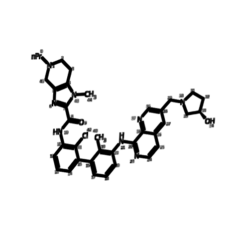 CCCN1CCc2c(nc(C(=O)Nc3cccc(-c4cccc(Nc5nccc6cc(CN7CC[C@@H](O)C7)cnc56)c4C)c3Cl)n2C)C1